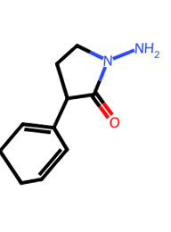 NN1CCC(C2=CCCC=C2)C1=O